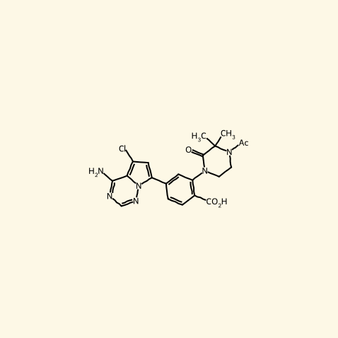 CC(=O)N1CCN(c2cc(-c3cc(Cl)c4c(N)ncnn34)ccc2C(=O)O)C(=O)C1(C)C